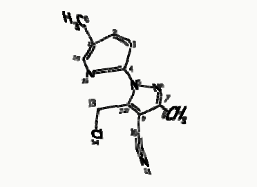 Cc1ccc(-n2nc(C)c(C#N)c2CCl)nc1